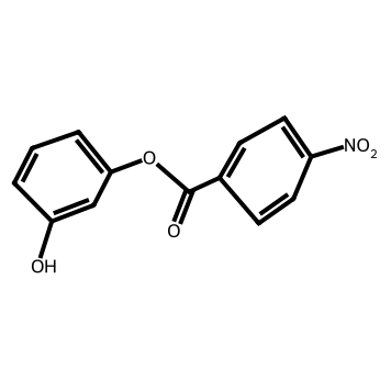 O=C(Oc1cccc(O)c1)c1ccc([N+](=O)[O-])cc1